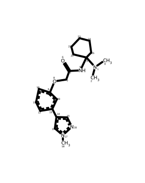 CN(C)C1(NC(=O)COc2c[c]cc(-c3cnn(C)c3)c2)CCCCC1